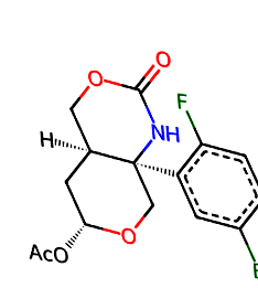 CC(=O)O[C@@H]1C[C@H]2COC(=O)N[C@@]2(c2cc(Br)ccc2F)CO1